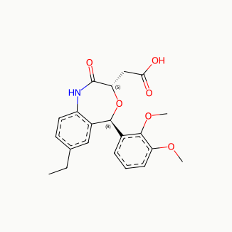 CCc1ccc2c(c1)[C@H](c1cccc(OC)c1OC)O[C@@H](CC(=O)O)C(=O)N2